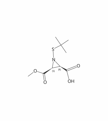 COC(=O)[C@@H]1[C@H](C(=O)O)N1SC(C)(C)C